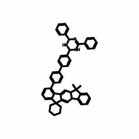 CC1(C)c2ccccc2C2C=C3C(=CC21)c1c(-c2ccc(-c4ccc(C5NC(c6ccccc6)=NC(c6ccccc6)N5)cc4)cc2)cccc1C31CCCCC1